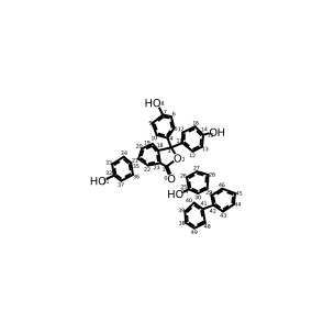 O=C1OC(c2ccc(O)cc2)(c2ccc(O)cc2)c2ccccc21.Oc1ccccc1.Oc1ccccc1.c1ccc(-c2ccccc2)cc1